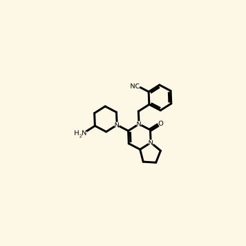 N#Cc1ccccc1CN1C(=O)N2CCCC2C=C1N1CCCC(N)C1